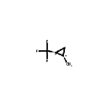 C[C@@H]1C[C@@H]1C(F)(F)F